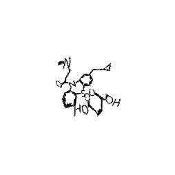 CN(C)CC(=O)N1c2ccccc2Sc2ccc(CC3CC3)cc21.O=C(O)/C=C\C(=O)O